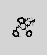 O[C@H](CN1c2ccccc2N(Cc2cccc(F)c2)C[C@H]1c1ccccc1)C(F)(F)F